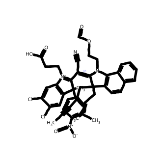 CC#CCC1(C)C(/C(C#N)=C2/N(CCOC=O)c3c(ccc4ccccc34)C2(CC=C(C)C)Cc2ccc([N+](=O)[O-])cc2)=[N+](CCC(=O)O)c2cc(Cl)c(Cl)cc21